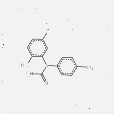 Cc1ccc(N(C(N)=O)c2cc(O)ccc2C)cc1